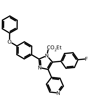 CCOC(=O)n1c(-c2ccc(Oc3ccccc3)cc2)nc(-c2ccncc2)c1-c1ccc(F)cc1